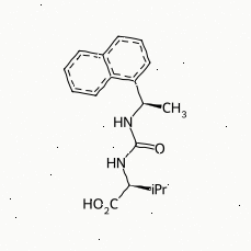 CC(C)[C@H](NC(=O)N[C@H](C)c1cccc2ccccc12)C(=O)O